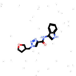 O=C(Nc1c[nH]c2ccccc12)c1cn(CC2CCOC2)nn1